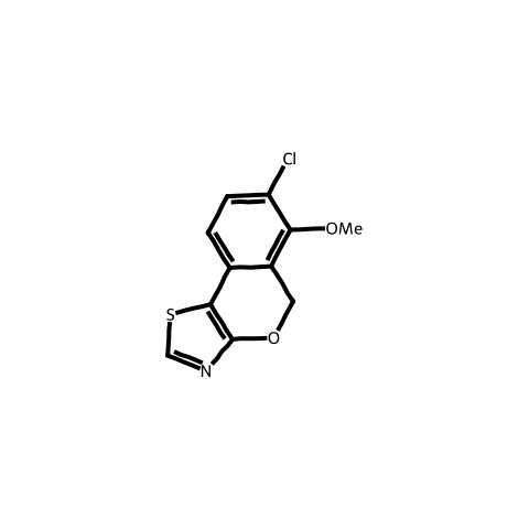 COc1c(Cl)ccc2c1COc1ncsc1-2